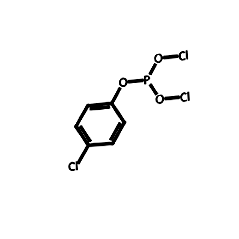 ClOP(OCl)Oc1ccc(Cl)cc1